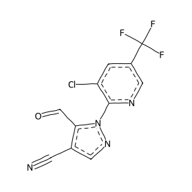 N#Cc1cnn(-c2ncc(C(F)(F)F)cc2Cl)c1C=O